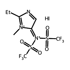 CCC1=[N+](C)C(=[N+](S(=O)(=O)C(F)(F)F)S(=O)(=O)C(F)(F)F)C=N1.I